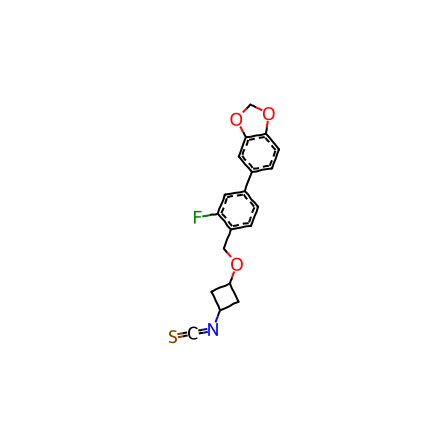 Fc1cc(-c2ccc3c(c2)OCO3)ccc1COC1CC(N=C=S)C1